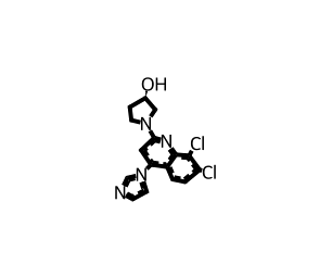 O[C@H]1CCN(c2cc(-n3ccnc3)c3ccc(Cl)c(Cl)c3n2)C1